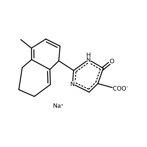 CC1=C2CCCC=C2C(c2ncc(C(=O)[O-])c(=O)[nH]2)C=C1.[Na+]